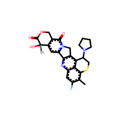 CC[C@@]1(O)C(=O)OCc2c1cc1n(c2=O)Cc2c-1nc1cc(F)c(C)c3c1c2C(N1CCCC1)CS3